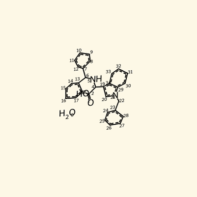 O.O=C(O)C(NC(c1ccccc1)c1ccccc1)c1cn(Cc2ccccc2)c2ccccc12